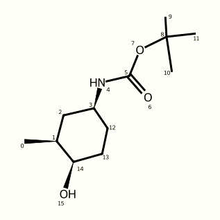 C[C@H]1C[C@@H](NC(=O)OC(C)(C)C)CC[C@H]1O